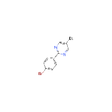 CCc1cnc(-c2ccc(Br)cc2)nc1